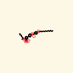 CCCCCCCCCCCCOc1ccc(C(=O)Oc2ccc(-c3ccc(OC(C)CCCCC)c([N+](=O)[O-])c3)cc2)cc1